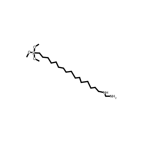 CO[Si](CCCCCCCCCCCCCCCCNCN)(OC)OC